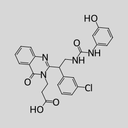 O=C(O)CCn1c(C(CNC(=O)Nc2cccc(O)c2)c2cccc(Cl)c2)nc2ccccc2c1=O